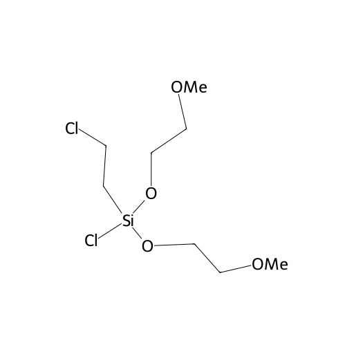 COCCO[Si](Cl)(CCCl)OCCOC